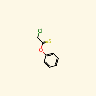 S=C(CCl)Oc1ccccc1